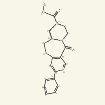 CC(C)(C)OC(=O)N1CCN2C(=O)c3cnc(-c4ccccc4)cc3OCC2C1